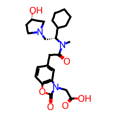 CN(C(=O)Cc1ccc2oc(=O)n(CC(=O)O)c2c1)[C@H](CN1CC[C@H](O)C1)C1CCCCC1